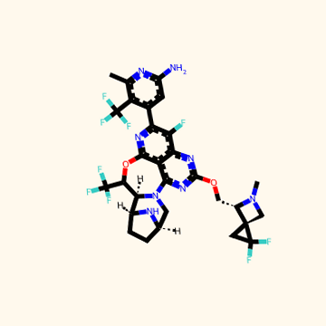 Cc1nc(N)cc(-c2nc3c4c(nc(OC[C@@H]5N(C)C[C@@]56CC6(F)F)nc4c2F)N2C[C@H]4CC[C@H](N4)[C@H]2C(C(F)(F)F)O3)c1C(F)(F)F